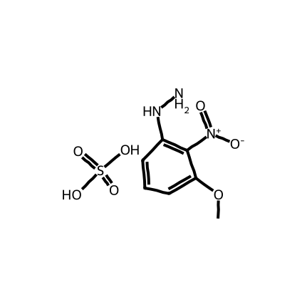 COc1cccc(NN)c1[N+](=O)[O-].O=S(=O)(O)O